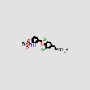 CCS(=O)(=O)Nc1cccc(COc2c(Br)cc(CCC(=O)O)cc2Br)c1